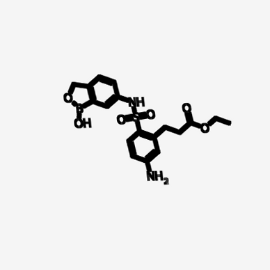 CCOC(=O)CCc1cc(N)ccc1S(=O)(=O)Nc1ccc2c(c1)B(O)OC2